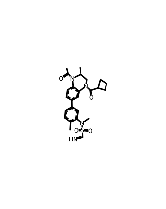 CC(=O)N1c2ccc(-c3ccc(C)c(N(C)S(=O)(=O)C=N)c3)cc2N(C(=O)C2CCC2)C[C@@H]1C